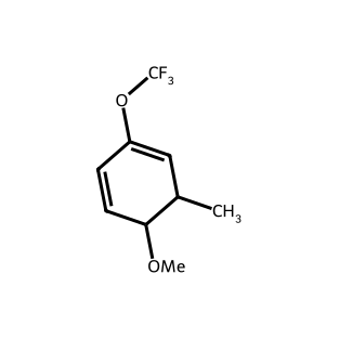 COC1C=CC(OC(F)(F)F)=CC1C